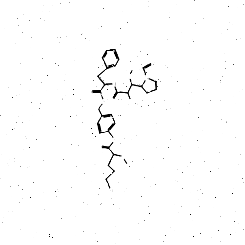 CNC(CCCN)C(=O)Nc1ccc(CNC(=O)C(Cc2ccccc2)NC(=O)C(C)C(OC)C2CCCN2C=O)cc1